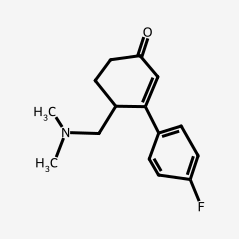 CN(C)CC1CCC(=O)C=C1c1ccc(F)cc1